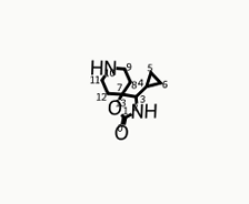 O=C1NC(C2CC2)C2(CCNCC2)O1